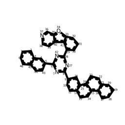 c1ccc2cc(-c3nc(-c4ccc5ccc6c7ccccc7ccc6c5c4)nc(-c4cccc5oc6cnccc6c45)n3)ccc2c1